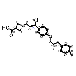 C[C@H](COc1ccc(/C(Cl)=C/CN2CC(C(=O)O)C2)cc1)Cc1ccc(F)cc1